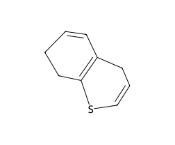 C1=CC2=C(CC1)SC=CC2